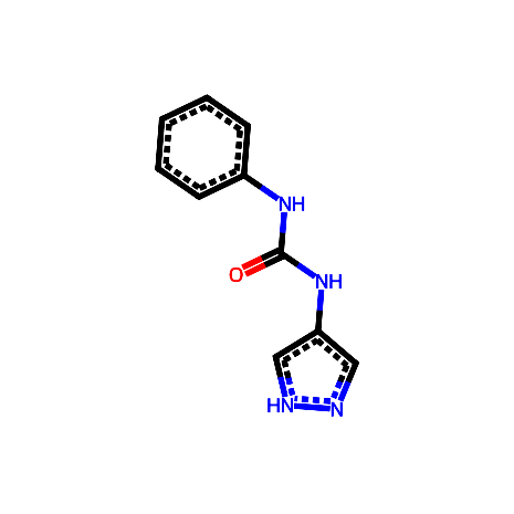 O=C(Nc1ccccc1)Nc1cn[nH]c1